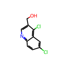 OCc1cnc2ccc(Cl)cc2c1Cl